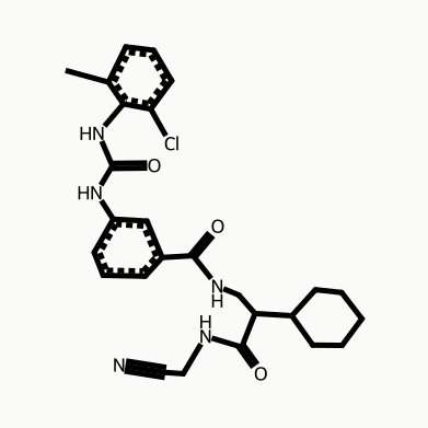 Cc1cccc(Cl)c1NC(=O)Nc1cccc(C(=O)NCC(C(=O)NCC#N)C2CCCCC2)c1